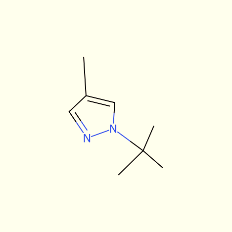 Cc1cnn(C(C)(C)C)c1